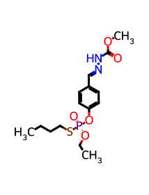 CCCCSP(=O)(OCC)Oc1ccc(C=NNC(=O)OC)cc1